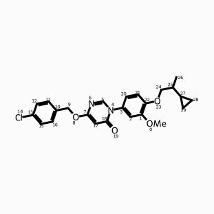 COc1cc(-n2cnc(OCc3ccc(Cl)cc3)cc2=O)ccc1OCC(C)C1CC1